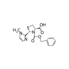 Cn1ccnc1[C@H]1SC[C@@H](C(=O)O)N1C(=O)OCc1ccccc1